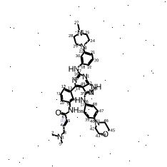 CN(C)C/C=C/C(=O)Nc1cccc(-c2nc(Nc3cccc(N4CCN(C)CC4)c3)nc3[nH]nc(Nc4ccc(N5CCOCC5)cc4)c23)c1